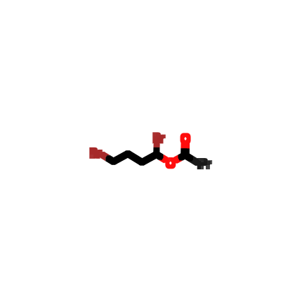 CC(C)C(=O)OC(Br)CCCBr